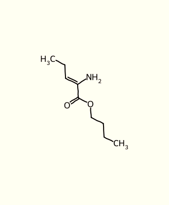 CCC=C(N)C(=O)OCCCC